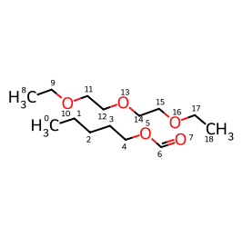 CCCCCOC=O.CCOCCOCCOCC